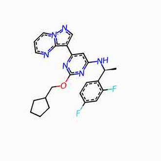 C[C@H](Nc1cc(-c2cnn3cccnc23)nc(OCC2CCCC2)n1)c1ccc(F)cc1F